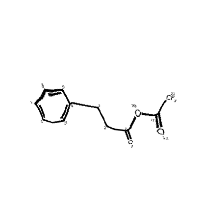 O=C(CCc1ccccc1)OC(=O)C(F)(F)F